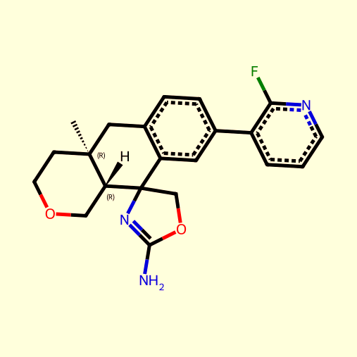 C[C@@]12CCOC[C@H]1C1(COC(N)=N1)c1cc(-c3cccnc3F)ccc1C2